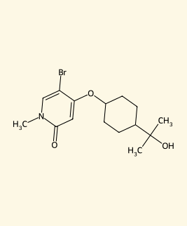 Cn1cc(Br)c(OC2CCC(C(C)(C)O)CC2)cc1=O